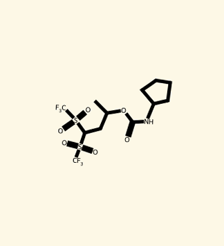 CC(CC(S(=O)(=O)C(F)(F)F)S(=O)(=O)C(F)(F)F)OC(=O)NC1CCCC1